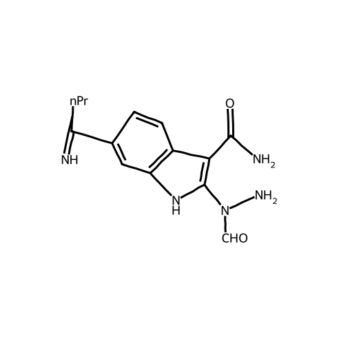 CCCC(=N)c1ccc2c(C(N)=O)c(N(N)C=O)[nH]c2c1